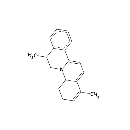 CC1=CCCC2C1=CC=C1c3ccccc3C(C)CN12